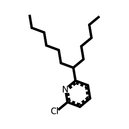 CCCCCCC(CCCCC)c1cccc(Cl)n1